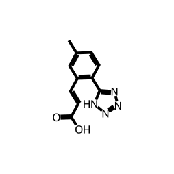 Cc1ccc(-c2nnn[nH]2)c(/C=C/C(=O)O)c1